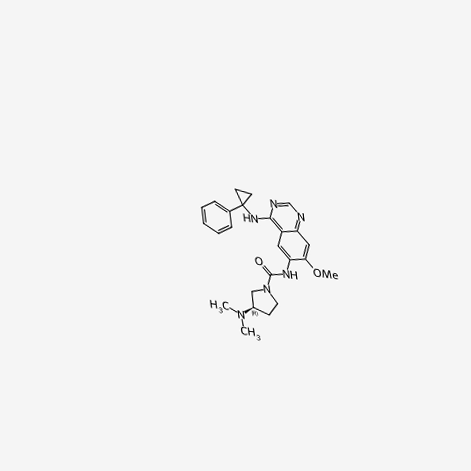 COc1cc2ncnc(NC3(c4ccccc4)CC3)c2cc1NC(=O)N1CC[C@@H](N(C)C)C1